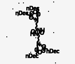 CCCCCCCCCCCC(=O)OCCN(CCCCC1NC(=O)C(CCCCN(CCOC(=O)CCCCCCCCCCC)CCOC(=O)CCCCCCCCCCC)NC1=O)CCOC(=O)CCCCCCCCCCC